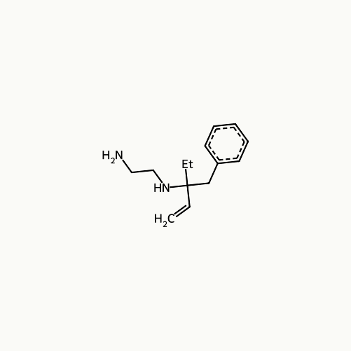 [CH2]CC(C=C)(Cc1ccccc1)NCCN